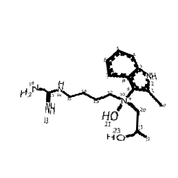 Cc1[nH]c2ccccc2c1[N+](O)(CCCCNC(=N)N)CC(C)O